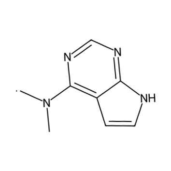 [CH2]N(C)c1ncnc2[nH]ccc12